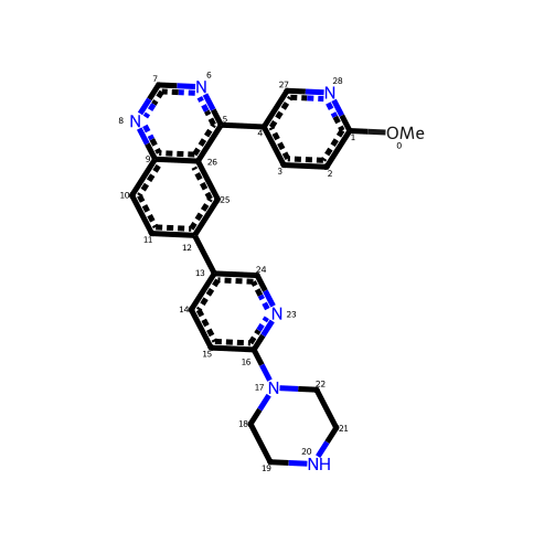 COc1ccc(-c2ncnc3ccc(-c4ccc(N5CCNCC5)nc4)cc23)cn1